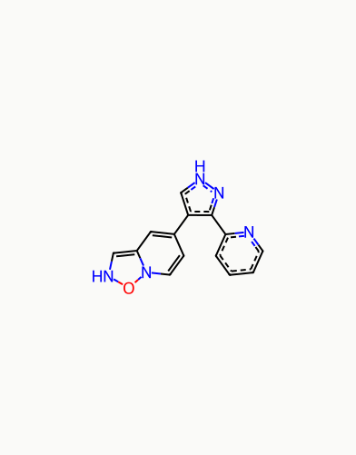 C1=CN2ONC=C2C=C1c1c[nH]nc1-c1ccccn1